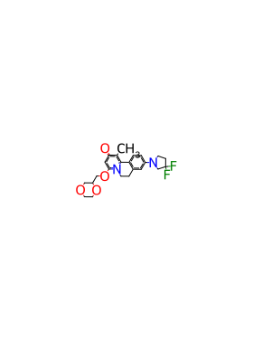 Cc1c2n(c(OCC3COCCO3)cc1=O)CCc1cc(N3CCC(F)(F)C3)ccc1-2